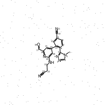 Cn1cnnc1-c1ccc(C#N)cc1-c1cc(C=O)nc(NCCC#N)c1